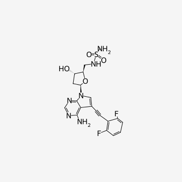 Nc1ncnc2c1c(C#Cc1c(F)cccc1F)cn2[C@H]1C[C@H](O)[C@@H](CNS(N)(=O)=O)O1